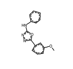 COc1cccc(-c2nnc(Nc3ccccc3)o2)c1